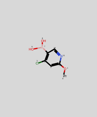 CC(C)Oc1cc(Cl)c(B(O)O)cn1